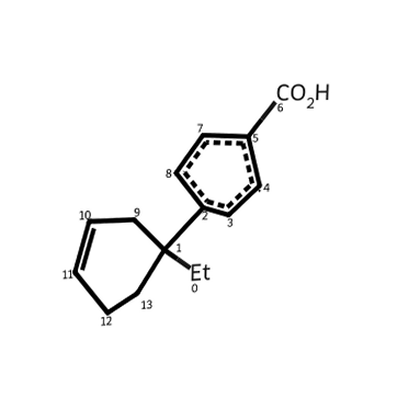 CCC1(c2c[c]c(C(=O)O)cc2)CC=CCC1